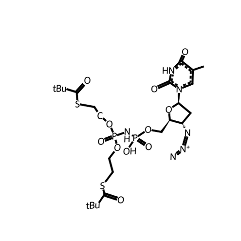 Cc1cn([C@H]2C[C@H](N=[N+]=[N-])[C@@H](COP(=O)(O)NP(=O)(OCCSC(=O)C(C)(C)C)OCCSC(=O)C(C)(C)C)O2)c(=O)[nH]c1=O